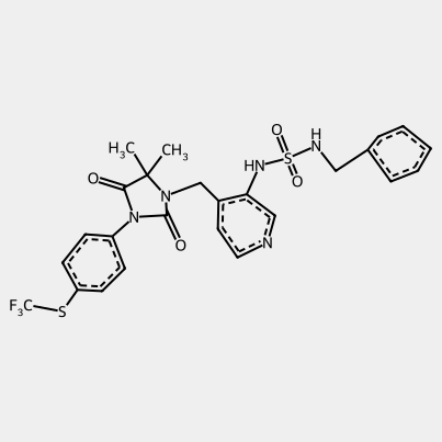 CC1(C)C(=O)N(c2ccc(SC(F)(F)F)cc2)C(=O)N1Cc1ccncc1NS(=O)(=O)NCc1ccccc1